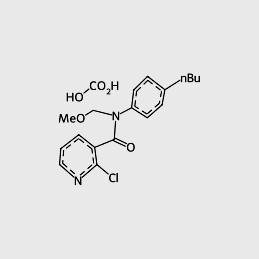 CCCCc1ccc(N(COC)C(=O)c2cccnc2Cl)cc1.O=C(O)O